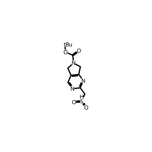 CC(C)(C)OC(=O)N1Cc2cnc(C[SH](=O)=O)nc2C1